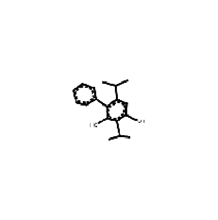 CC(C)c1cc(O)c(C(C)C)c(O)c1-c1ccccc1